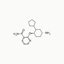 NC(=O)c1cccnc1O[C@@H]1CC[C@@H](N)CC1C1CCCC1